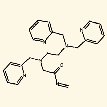 C=NC(=O)CN(CCN(Cc1ccccn1)Cc1ccccn1)Cc1ccccn1